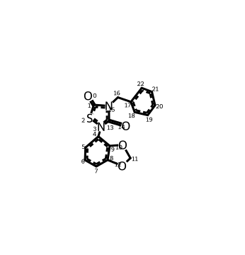 O=c1sn(-c2cccc3c2OCO3)c(=O)n1Cc1ccccc1